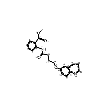 COC(=O)c1ccccc1NC(=O)CCCOc1ccc2ncccc2c1